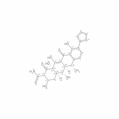 C[C@H]1c2ccc(-c3cccs3)c(O)c2C(=O)C2=C(O)[C@]3(O)C(=O)C(C(N)=O)C(O)C[C@@H]3[C@@H](O)[C@@H]21